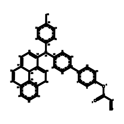 C=CC(=O)Oc1ccc(-c2ccc(N(C3=CC=C4C=Cc5cccc6c5C4C3=CC6)c3ccc(C)cc3)cc2)cc1